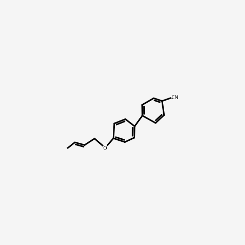 CC=CCOc1ccc(-c2ccc(C#N)cc2)cc1